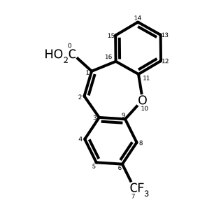 O=C(O)C1=Cc2ccc(C(F)(F)F)cc2Oc2ccccc21